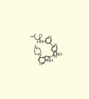 CC(C)CC(=O)Nc1cncc(-c2cc3c(-c4cc5c(N6CCN(C)CC6)cncc5[nH]4)n[nH]c3cn2)c1